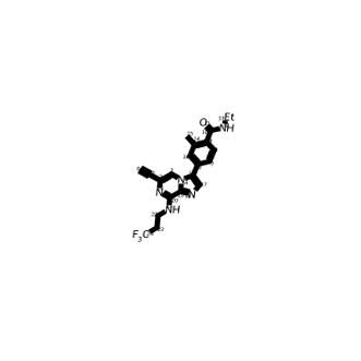 C#Cc1cn2c(-c3ccc(C(=O)NCC)c(C)c3)cnc2c(NCCC(F)(F)F)n1